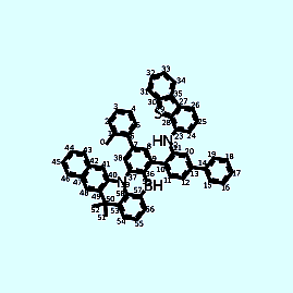 Cc1ccccc1-c1cc(-c2ccc(-c3ccccc3)cc2Nc2cccc3c2sc2ccccc23)c2c(c1)N1c3cc4ccccc4cc3C(C)(C)c3cccc(c31)B2